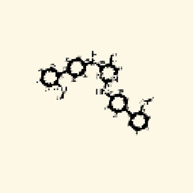 COc1ccccc1-c1ccc(Nc2ncc(C)c(Nc3ccc(-c4ccccc4OC)cc3)n2)cc1